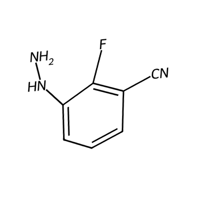 N#Cc1cccc(NN)c1F